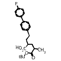 CC(CC(CCc1ccc(-c2ccc(F)cc2)cc1)C(=O)O)C(=O)OC(C)(C)C